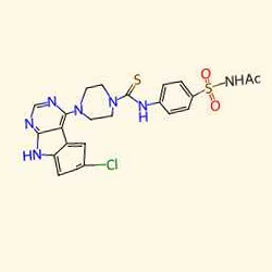 CC(=O)NS(=O)(=O)c1ccc(NC(=S)N2CCN(c3ncnc4[nH]c5ccc(Cl)cc5c34)CC2)cc1